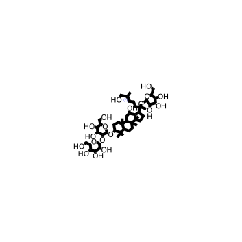 C/C(=C\CCC(C)(OC1OC(CO)C(O)C(O)C1O)C1CCC2(C)C1C(O)CC1C3(C)CCC(OC4OC(CO)C(O)C(O)C4OC4OC(CO)C(O)C(O)C4O)C(C)(C)C3CCC12C)CO